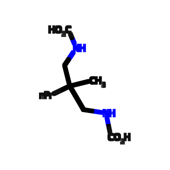 CCCC(C)(CNC(=O)O)CNC(=O)O